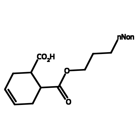 CCCCCCCCCCCCOC(=O)C1CC=CCC1C(=O)O